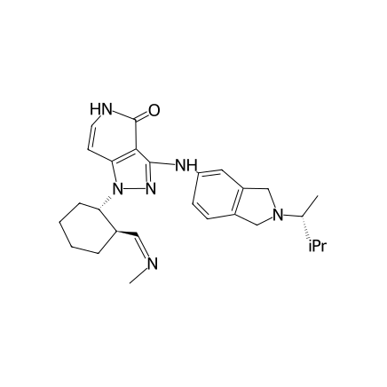 C/N=C\[C@H]1CCCC[C@@H]1n1nc(Nc2ccc3c(c2)CN([C@H](C)C(C)C)C3)c2c(=O)[nH]ccc21